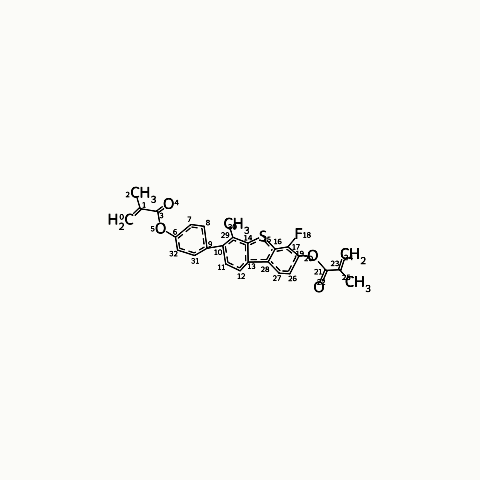 C=C(C)C(=O)Oc1ccc(-c2ccc3c(sc4c(F)c(OC(=O)C(=C)C)ccc43)c2C)cc1